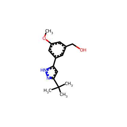 COc1cc(CO)cc(-c2cc(C(C)(C)C)n[nH]2)c1